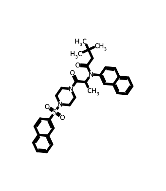 CC(C(=O)N1CCN(S(=O)(=O)c2ccc3ccccc3c2)CC1)N(C(=O)CC(C)(C)C)c1ccc2ccccc2c1